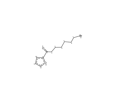 O=C(CCCCCCBr)c1ccco1